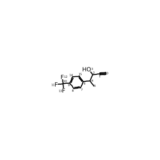 C#CC(O)C(C)c1ccc(C(F)(F)F)cc1